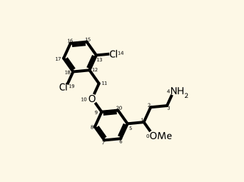 COC(CCN)c1cccc(OCc2c(Cl)cccc2Cl)c1